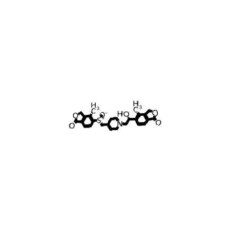 Cc1c([C@H](O)CN2CCC(C[S+]([O-])c3ccc4c(c3C)COC4=O)CC2)ccc2c1COC2=O